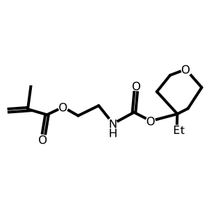 C=C(C)C(=O)OCCNC(=O)OC1(CC)CCOCC1